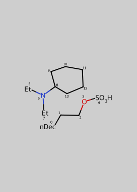 CCCCCCCCCCCCOS(=O)(=O)O.CCN(CC)C1CCCCC1